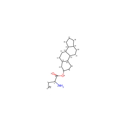 CC(C)CC(N)C(=O)OC1CCC2C(CCC3C4CCCC4CCC23)C1